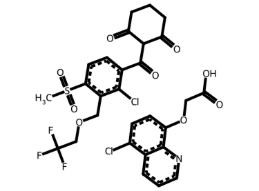 CS(=O)(=O)c1ccc(C(=O)C2C(=O)CCCC2=O)c(Cl)c1COCC(F)(F)F.O=C(O)COc1ccc(Cl)c2cccnc12